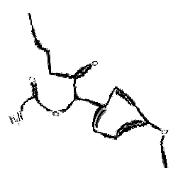 CCCCC(=O)C(OC(N)=O)c1ccc(OC)cc1